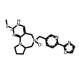 CS[C@@H]1N=C2C(=CN1)C[N+]([O-])(Cc1ccc(-c3ncco3)nc1)CC1CCCN21